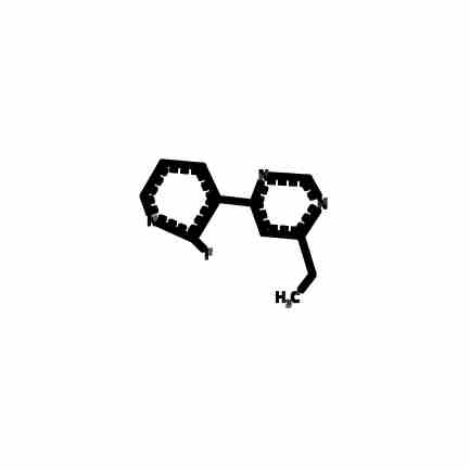 CCc1cc(-c2cccnc2F)ncn1